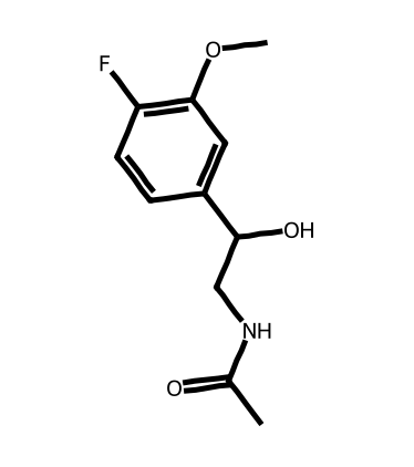 COc1cc(C(O)CNC(C)=O)ccc1F